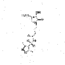 Cc1noc(C)c1S(=O)(=O)NC(=O)CCCN1CC(C(=O)O)=C(O)C1=O